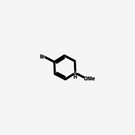 CO[SH]1C=CC(Br)=CC1